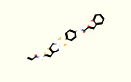 C=CC(=O)Nc1cc2c(s1)CN(S(=O)(=O)c1ccc(NC(=O)c3cc4ccccc4o3)cc1)C2